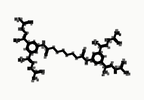 C/C(=N\NC(=N)N)c1cc(NC(=O)CCCCCCC(=O)Nc2cc(/C(C)=N/NC(=N)N)cc(/C(C)=N/NC(=N)N)c2)cc(/C(C)=N/NC(=N)N)c1